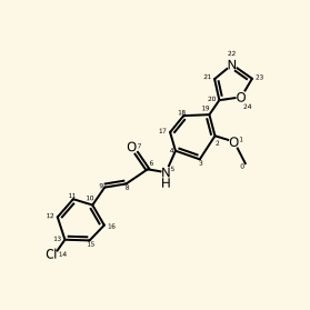 COc1cc(NC(=O)C=Cc2ccc(Cl)cc2)ccc1-c1cnco1